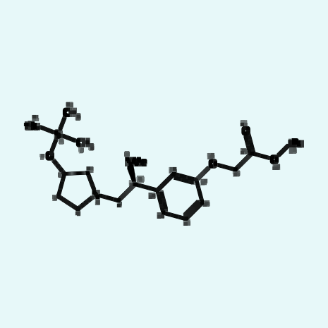 CN[C@H](CN1CCC(O[Si](C)(C)C(C)(C)C)C1)c1cccc(OCC(=O)OC(C)(C)C)c1